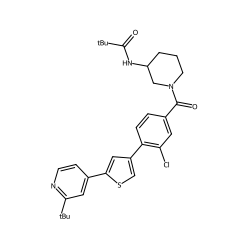 CC(C)(C)C(=O)NC1CCCN(C(=O)c2ccc(-c3csc(-c4ccnc(C(C)(C)C)c4)c3)c(Cl)c2)C1